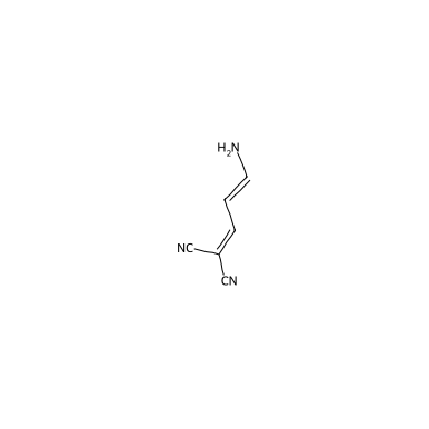 N#CC(C#N)=C/C=C/N